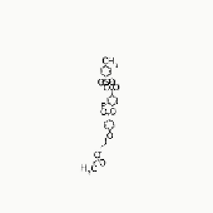 C=CC(=O)OCCCCOc1ccc(C(=O)Oc2ccc(C(=O)OS(=O)(=O)c3ccc(C)cc3)cc2F)cc1